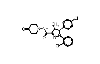 C[C@@H]1C(C(=O)NN2CCC(=O)CC2)=NN(c2ccccc2Cl)[C@@H]1c1ccc(Cl)cc1